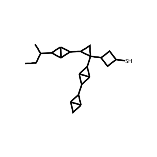 CCC(C)C1C2C1C2C1CC1(C1CC(S)C1)C1C2C(C3C4CC43)C21